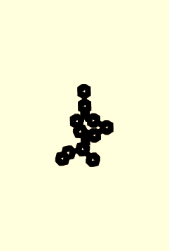 c1ccc(-c2ccc(N(c3ccccc3)c3ccc(-c4ccccc4-c4ccc5c(c4)c4ccccc4n5-c4cc(-c5ccccc5)cc(-c5ccc6ccccc6c5)c4)cc3)cc2)cc1